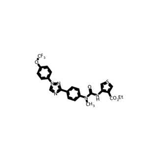 CCOC(=O)c1cscc1NC(=O)N(C)c1ccc(-c2ncn(-c3ccc(OC(F)(F)F)cc3)n2)cc1